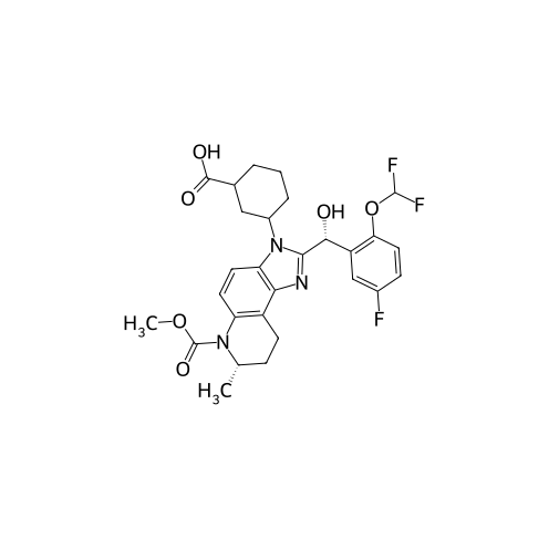 COC(=O)N1c2ccc3c(nc([C@H](O)c4cc(F)ccc4OC(F)F)n3C3CCCC(C(=O)O)C3)c2CC[C@@H]1C